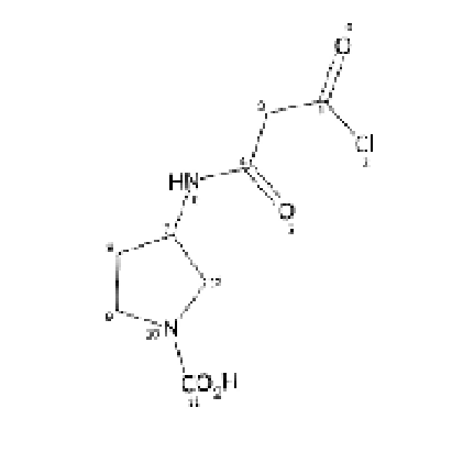 O=C(Cl)CC(=O)NC1CCN(C(=O)O)C1